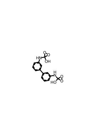 OC1(Nc2cccc(-c3cccc(NC4(O)OO4)c3)c2)OO1